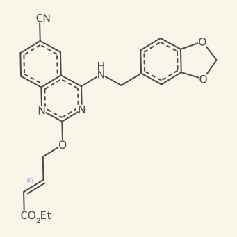 CCOC(=O)/C=C/COc1nc(NCc2ccc3c(c2)OCO3)c2cc(C#N)ccc2n1